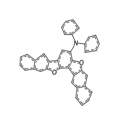 c1ccc(N(c2ccccc2)c2cc3c4cc5ccccc5cc4oc3c3c2oc2cc4ccccc4cc23)cc1